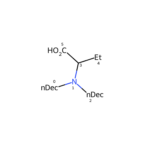 CCCCCCCCCCN(CCCCCCCCCC)C(CC)C(=O)O